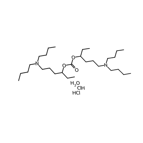 CCCCN(CCCC)CCCC(CC)OC(=O)OC(CC)CCCN(CCCC)CCCC.Cl.Cl.O